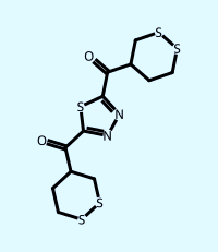 O=C(c1nnc(C(=O)C2CCSSC2)s1)C1CCSSC1